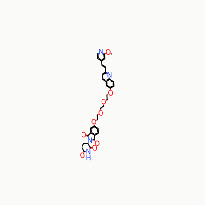 COc1cc(/C=C/c2ccc3cc(OCCOCCOCCOc4ccc5c(c4)C(=O)N(C4CCC(=O)NC4=O)C5=O)ccc3n2)ccn1